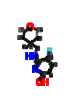 CC1(CNc2nc(O)ccc2F)CCOCC1